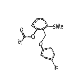 CCC(=O)Oc1cccc(SC)c1COc1ccc(F)cc1